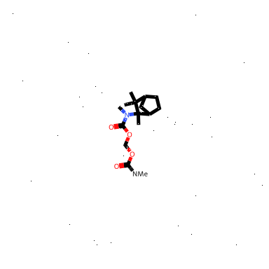 CNC(=O)OCOC(=O)N(C)C1(C)C2CCC(C2)C1(C)C